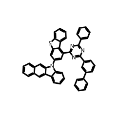 c1ccc(-c2cccc(-c3nc(-c4ccccc4)nc(-c4cc(-n5c6ccccc6c6cc7ccccc7cc65)cc5sc6ccccc6c45)n3)c2)cc1